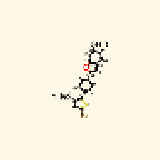 CCCCCCc1cc(Br)sc1-c1ccc(-c2cc3ccc(C=O)cc3o2)cc1